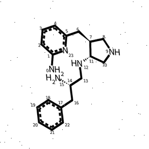 Nc1cccc(C[C@H]2CNC[C@@H]2NC[C@@H](N)Cc2ccccc2)n1